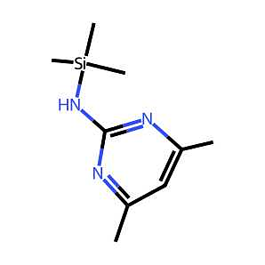 Cc1cc(C)nc(N[Si](C)(C)C)n1